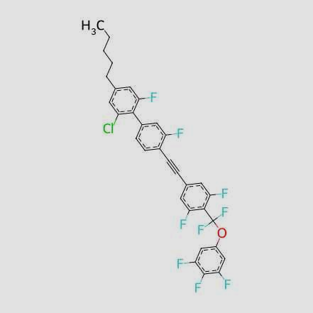 CCCCCc1cc(F)c(-c2ccc(C#Cc3cc(F)c(C(F)(F)Oc4cc(F)c(F)c(F)c4)c(F)c3)c(F)c2)c(Cl)c1